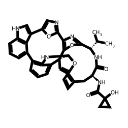 CC(C)[C@@H]1NC(=O)[C@@H](NC(=O)C2(O)CC2)Cc2ccc3c(c2)[C@]24c5cccc(c5NC2O3)-c2cccc3[nH]cc(c23)-c2cnc(o2)-c2nc1oc24